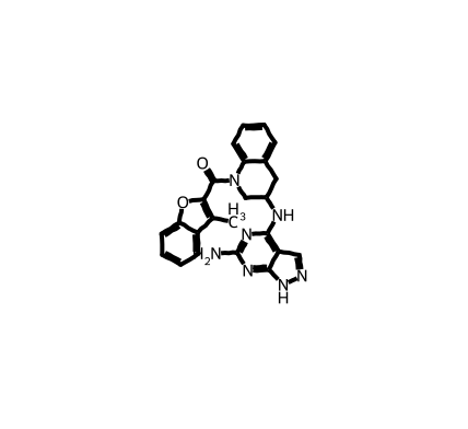 Cc1c(C(=O)N2CC(Nc3nc(N)nc4[nH]ncc34)Cc3ccccc32)oc2ccccc12